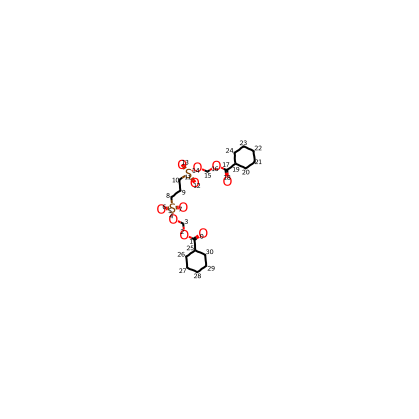 O=C(OCOS(=O)(=O)CCCS(=O)(=O)OCOC(=O)C1CCCCC1)C1CCCCC1